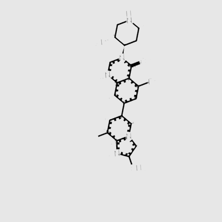 Cc1cn2cc(-c3cc(F)c4c(=O)n([C@@H]5CCNC[C@H]5F)cnc4c3)cc(F)c2n1